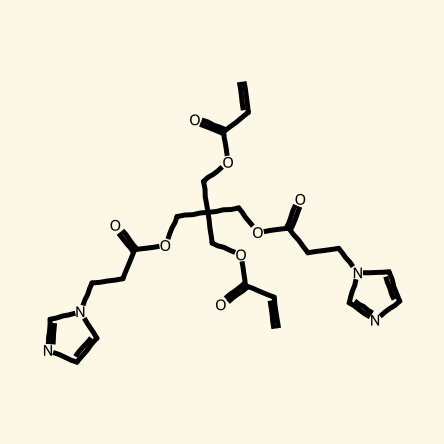 C=CC(=O)OCC(COC(=O)C=C)(COC(=O)CCn1ccnc1)COC(=O)CCn1ccnc1